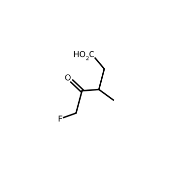 CC(CC(=O)O)C(=O)CF